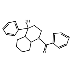 O=C(c1ccncc1)N1CCC(O)(c2ccccc2)C2CCCCC21